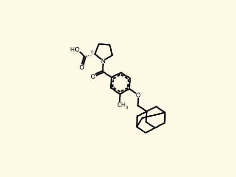 Cc1cc(C(=O)N2CCC[C@H]2C(=O)O)ccc1OCC12CC3CC(CC(C3)C1)C2